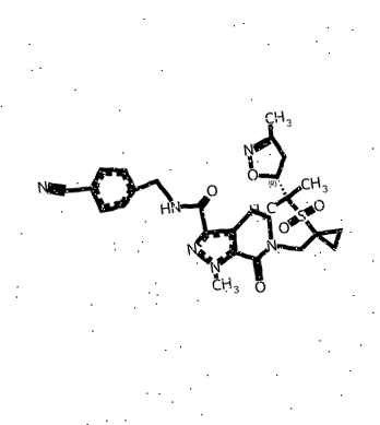 CC1=NO[C@@H](C(C)(C)S(=O)(=O)C2(CN3CCc4c(C(=O)NCc5ccc(C#N)cc5)nn(C)c4C3=O)CC2)C1